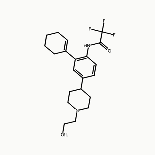 O=C(Nc1ccc(C2CCN(CCO)CC2)cc1C1=CCCCC1)C(F)(F)F